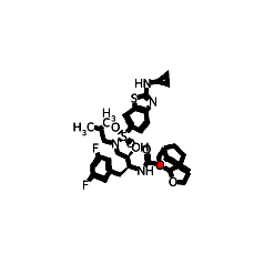 CC(C)CN(C[C@@H](O)[C@H](Cc1cc(F)cc(F)c1)NC(=O)OC1=C2COC3OCC1CCC23)S(=O)(=O)c1ccc2nc(NC3CC3)sc2c1